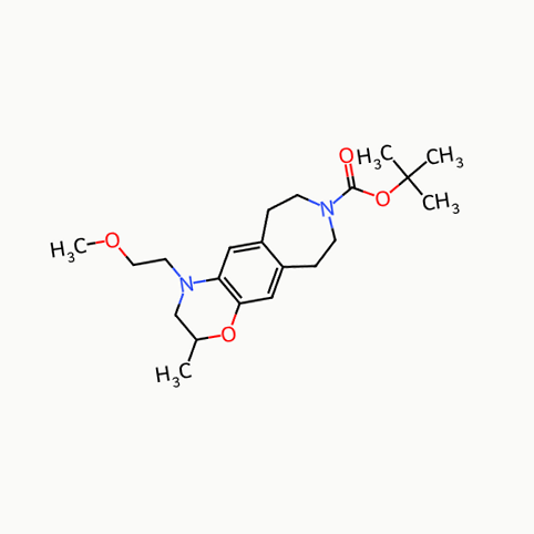 COCCN1CC(C)Oc2cc3c(cc21)CCN(C(=O)OC(C)(C)C)CC3